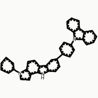 c1ccc(-n2ccc3c4[nH]c5ccc(-c6ccc(-n7c8ccccc8c8ccccc87)cc6)cc5c4ccc32)cc1